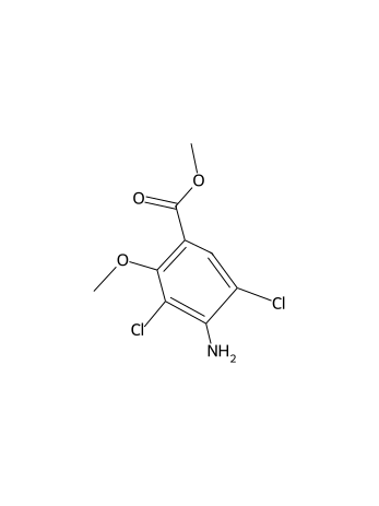 COC(=O)c1cc(Cl)c(N)c(Cl)c1OC